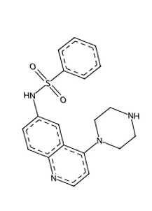 O=S(=O)(Nc1ccc2nccc(N3CCNCC3)c2c1)c1ccccc1